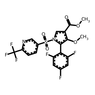 COC(=O)c1cn(S(=O)(=O)c2ccc(C(F)(F)F)nc2)c(-c2c(F)cc(F)cc2F)c1OC